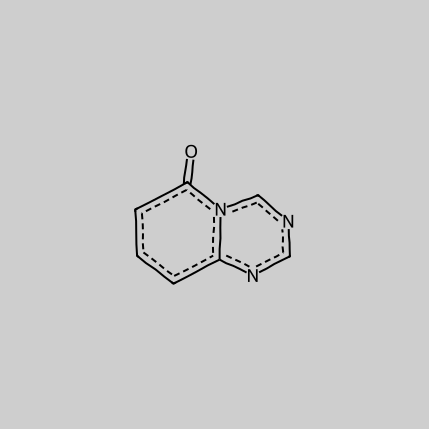 O=c1cccc2ncncn12